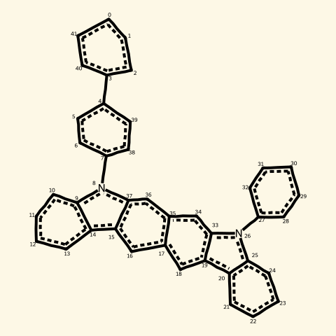 c1ccc(-c2ccc(-n3c4ccccc4c4cc5cc6c7ccccc7n(-c7ccccc7)c6cc5cc43)cc2)cc1